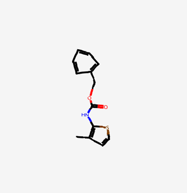 Cc1ccsc1NC(=O)OCc1ccccc1